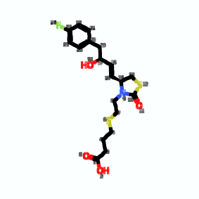 O=C(O)CCCSCCN1C(=O)SC[C@@H]1/C=C/[C@@H](O)Cc1ccc(F)cc1